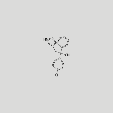 N#CC(Cc1c[nH]cn1)(c1ccccc1)c1ccc(Cl)cc1